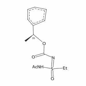 CCS(=O)(=NC(=O)O[C@@H](C)c1ccccc1)NC(C)=O